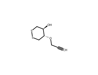 C#CCO[C@@H]1CSSC[C@H]1O